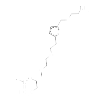 NCCOCc1ccc(CCOCCOC[C@H](CC(=O)O)OBO)s1